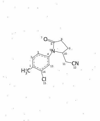 Cc1ccc(N2C(=O)CCC2CC#N)cc1Cl